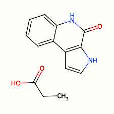 CCC(=O)O.O=c1[nH]c2ccccc2c2cc[nH]c12